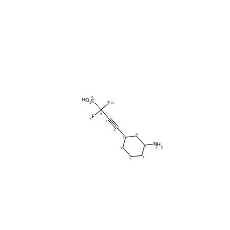 NC1CCCC(C#CC(F)(F)C(=O)O)C1